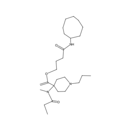 C=C(OCCCC(=O)NC1CCCCCCC1)C1(N(C)C(=O)CC)CCN(CCC)CC1